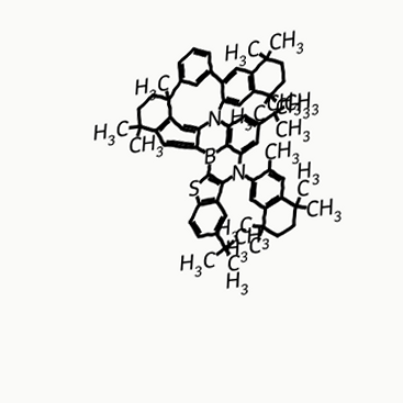 Cc1cc2c(cc1N1c3cc(C(C)(C)C)cc4c3B(c3cc5c6cc3N4c3cc4c(cc3-c3cccc(c3)C6(C)CCC5(C)C)C(C)(C)CCC4(C)C)c3sc4ccc(C(C)(C)C)cc4c31)C(C)(C)CCC2(C)C